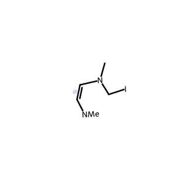 CN/C=C\N(C)CI